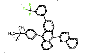 CC(C)(C)c1ccc(-c2c3ccccc3c(-c3ccc4ccccc4c3)c3ccc(-c4cccc(C(F)(F)F)c4)cc23)cc1